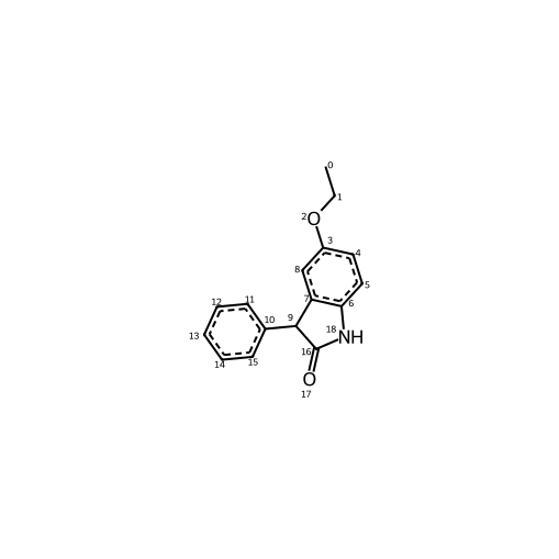 CCOc1ccc2c(c1)C(c1ccccc1)C(=O)N2